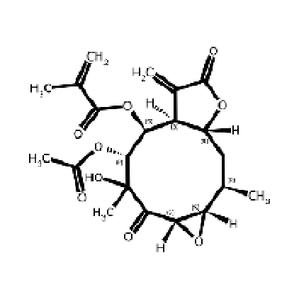 C=C(C)C(=O)O[C@H]1[C@H]2C(=C)C(=O)O[C@@H]2C[C@@H](C)[C@@H]2O[C@@H]2C(=O)C(C)(O)[C@@H]1OC(C)=O